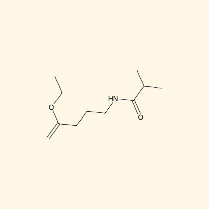 C=C(CCCNC(=O)C(C)C)OCC